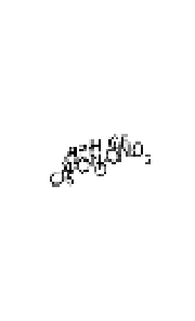 CCCOc1cc(NC(=O)c2ccc([N+](=O)[O-])c(C(F)(F)F)c2)ccc1-c1nc2ccccc2s1